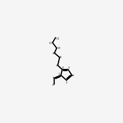 CC=C1C=CC=C1CCCCCC